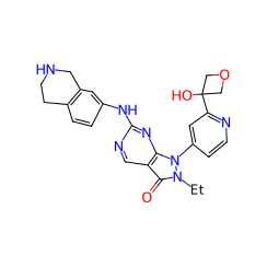 CCn1c(=O)c2cnc(Nc3ccc4c(c3)CNCC4)nc2n1-c1ccnc(C2(O)COC2)c1